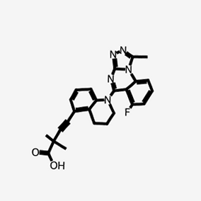 Cc1nnc2nc(N3CCCc4c(C#CC(C)(C)C(=O)O)cccc43)c3c(F)cccc3n12